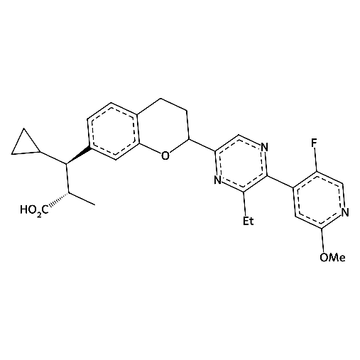 CCc1nc(C2CCc3ccc([C@H](C4CC4)[C@H](C)C(=O)O)cc3O2)cnc1-c1cc(OC)ncc1F